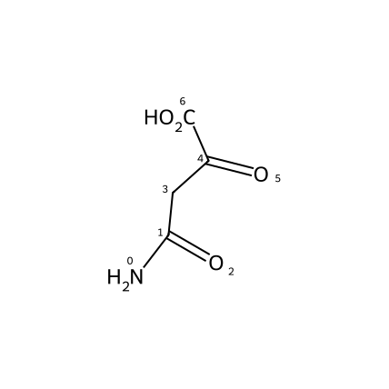 NC(=O)CC(=O)C(=O)O